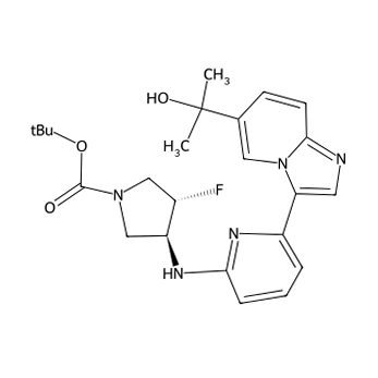 CC(C)(C)OC(=O)N1C[C@H](Nc2cccc(-c3cnc4ccc(C(C)(C)O)cn34)n2)[C@@H](F)C1